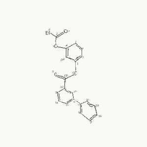 CCC(=O)Oc1cccc(OC(=O)c2cccc(-c3ccccc3)c2)c1